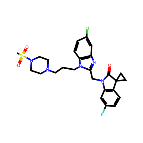 CS(=O)(=O)N1CCN(CCCn2c(CN3C(=O)C4(CC4)c4ccc(F)cc43)nc3cc(Cl)ccc32)CC1